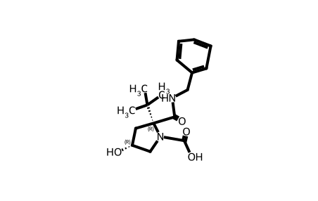 CC(C)(C)[C@@]1(C(=O)NCc2ccccc2)C[C@@H](O)CN1C(=O)O